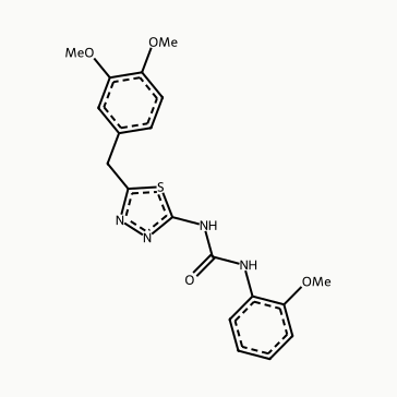 COc1ccccc1NC(=O)Nc1nnc(Cc2ccc(OC)c(OC)c2)s1